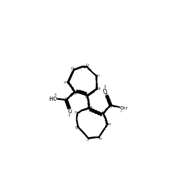 O=C(O)C1=C(C2=C(C(=O)O)CCCCC2)CCCCC1